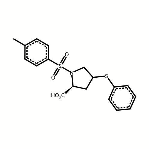 Cc1ccc(S(=O)(=O)N2CC(Sc3ccccc3)C[C@H]2C(=O)O)cc1